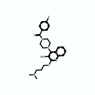 CN(C)CCCOc1nc2ccccc2c(N2CCN(C(=O)c3ccc(F)cc3)CC2)c1C#N